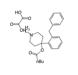 CCCCC(=O)OC1(c2ccccc2Cc2ccccc2)CCN(C)CC1.O=C(O)C(=O)O